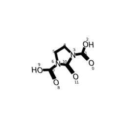 O=C(O)N1CCN(C(=O)O)C1=O